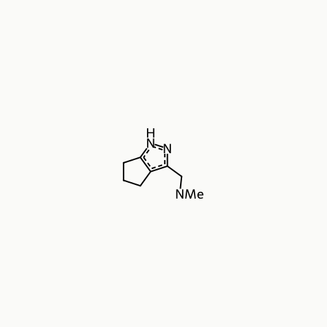 CNCc1n[nH]c2c1CCC2